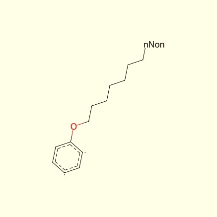 CCCCCCCCCCCCCCCCOc1[c]c[c]cc1